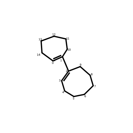 [C]1=C(/C2=C/CCCCCC2)CCCCC1